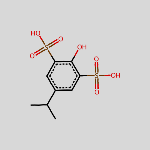 CC(C)c1cc(S(=O)(=O)O)c(O)c(S(=O)(=O)O)c1